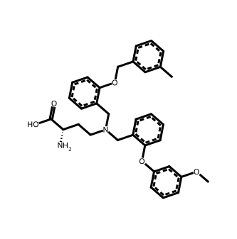 COc1cccc(Oc2ccccc2CN(CC[C@H](N)C(=O)O)Cc2ccccc2OCc2cccc(C)c2)c1